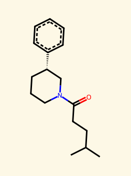 CC(C)CCC(=O)N1CCC[C@H](c2ccccc2)C1